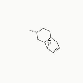 CC1CCC2C3C=CC(O3)C2C1